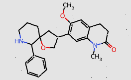 COc1cc2c(cc1C1COC3(CCCNC3c3ccccc3)C1)N(C)C(=O)CC2